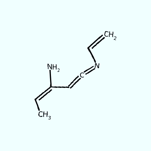 C=CN=C=C/C(N)=C\C